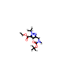 CCOC(=O)c1cc(CN(C)C(=O)OC(C)(C)C)nn1C(C)C